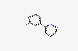 Oc1cccc(-c2cc[c]cn2)c1